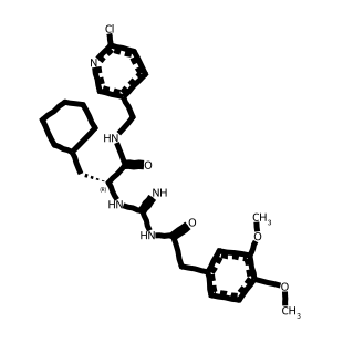 COc1ccc(CC(=O)NC(=N)N[C@H](CC2CCCCC2)C(=O)NCc2ccc(Cl)nc2)cc1OC